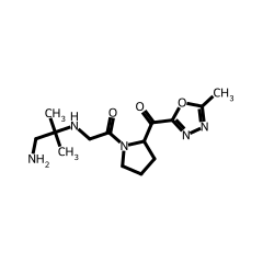 Cc1nnc(C(=O)C2CCCN2C(=O)CNC(C)(C)CN)o1